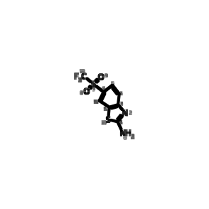 Nc1nc2ccc(S(=O)(=O)C(F)(F)F)cc2s1